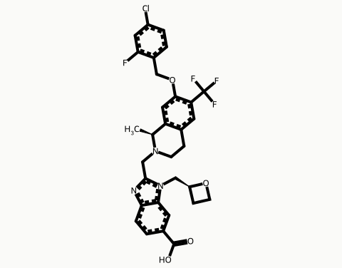 C[C@H]1c2cc(OCc3ccc(Cl)cc3F)c(C(F)(F)F)cc2CCN1Cc1nc2ccc(C(=O)O)cc2n1C[C@@H]1CCO1